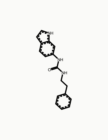 O=C(NCCc1ccccc1)Nc1ccc2cc[nH]c2c1